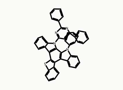 c1ccc(-c2cc(-n3c4ccccc4c4c5sc6ccccc6c5c5c6ccccc6n(-c6ccccc6)c5c43)nc(-c3ccccc3)n2)cc1